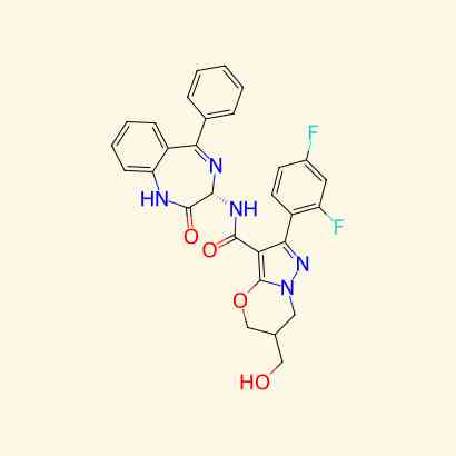 O=C(N[C@H]1N=C(c2ccccc2)c2ccccc2NC1=O)c1c(-c2ccc(F)cc2F)nn2c1OCC(CO)C2